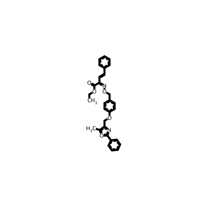 CCOC(=O)C(C=Cc1ccccc1)=NOCc1ccc(OCc2nc(-c3ccccc3)oc2C)cc1